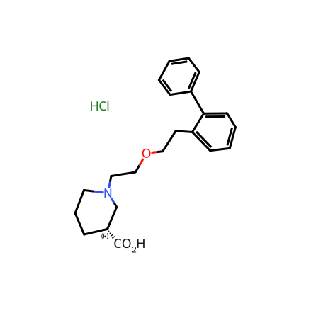 Cl.O=C(O)[C@@H]1CCCN(CCOCCc2ccccc2-c2ccccc2)C1